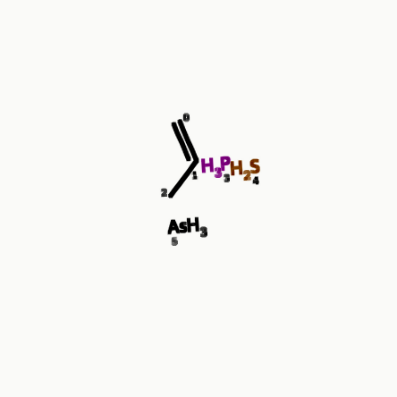 C=CC.P.S.[AsH3]